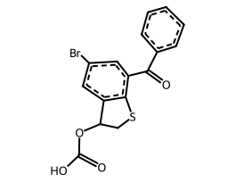 O=C(O)OC1CSc2c(C(=O)c3ccccc3)cc(Br)cc21